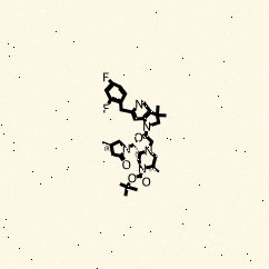 C[C@@H]1CC(=O)N(C[C@H]2CN(C(=O)OC(C)(C)C)[C@H](C)CN2CC(=O)N2CC(C)(C)c3cnc(Cc4ccc(F)cc4F)cc32)C1